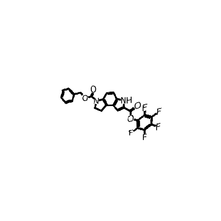 O=C(Oc1c(F)c(F)c(F)c(F)c1F)c1cc2c3c(ccc2[nH]1)N(C(=O)OCc1ccccc1)CC3